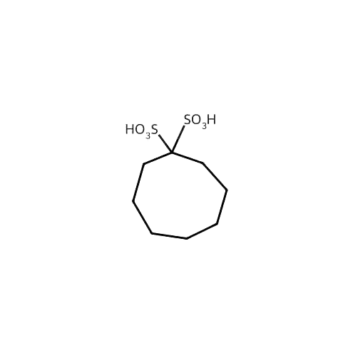 O=S(=O)(O)C1(S(=O)(=O)O)CCCCCCC1